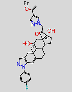 C=C(OCC)c1cnn(CC(=O)[C@@]2(O)CCC3C4CCC5=Cc6c(cnn6-c6ccc(F)cc6)CC5(C)C4[C@@H](O)CC32C)c1